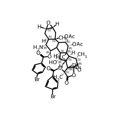 CC(=O)O[C@H]1C2C([C@@H](OC(=O)c3ccc(Br)cc3)[C@H](N)[C@H]3C[C@@H]4O[C@@H]4C[C@]23C)[C@@H]2[C@@H](O)[C@@H]3[C@H]([C@H](C)[C@H]4O[C@]45OC(=O)[C@@](C)(OC(=O)c4ccc(Br)cc4)[C@]35C)[C@@]2(C)[C@H]1OC(C)=O